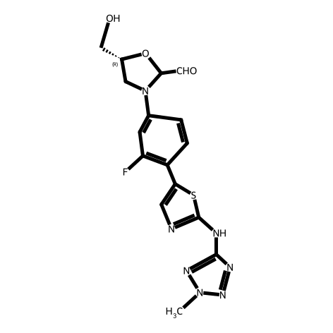 Cn1nnc(Nc2ncc(-c3ccc(N4C[C@H](CO)OC4C=O)cc3F)s2)n1